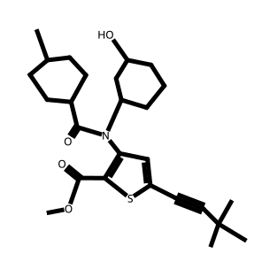 COC(=O)c1sc(C#CC(C)(C)C)cc1N(C(=O)C1CCC(C)CC1)C1CCCC(O)C1